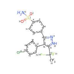 NS(=O)(=O)c1ccc(-c2n[nH]c(C(F)(F)C(F)(F)F)c2-c2ccc(Cl)cc2)cc1